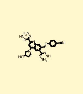 N#Cc1ccc(OCc2cc3nc(C(N=N)=NN)cc(N4CCC(O)C4)c3cc2C(N=N)=NN)cc1